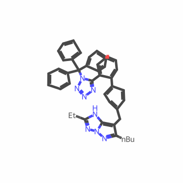 CCCCc1nn2nc(CC)[nH]c2c1Cc1ccc(-c2ccccc2-c2nnnn2C(c2ccccc2)(c2ccccc2)c2ccccc2)cc1